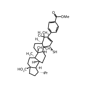 COC(=O)c1ccc(C2=C[C@@H](S)[C@]3(C)[C@H]4CC[C@@H]5[C@H]6[C@H](C(C)C)CC[C@]6(C(=O)O)CC[C@@]5(C)[C@]4(C)CC[C@H]3C2(C)C)cc1